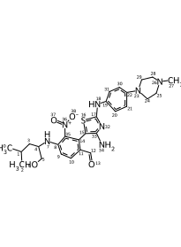 CC(C)CC(CO)Nc1ccc(C=O)c(-c2sc(Nc3ccc(N4CCN(C)CC4)cc3)nc2N)c1[N+](=O)[O-]